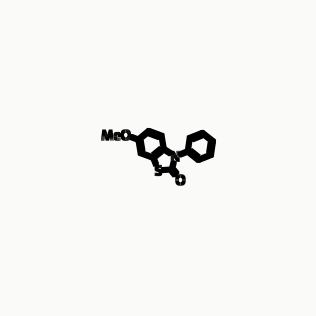 COc1ccc2c(c1)sc(=O)n2-c1ccccc1